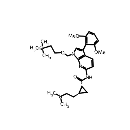 COc1cccc(OC)c1-c1cn(COCC[Si](C)(C)C)c2nc(NC(=O)[C@@H]3C[C@H]3CCN(C)C)ccc12